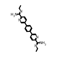 CC/N=C(\N)c1ccc(-c2ccc(-c3ccc(/C(N)=N/CC)nc3)cc2)cn1